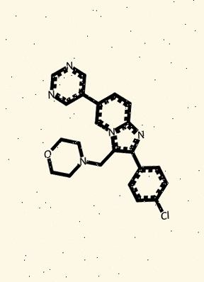 Clc1ccc(-c2nc3ccc(-c4cncnc4)cn3c2CN2CCOCC2)cc1